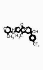 CC1COCCC1NC1CC[C@@]2(C1)C(=O)N1CCC(O)(c3ccc(C(F)(F)F)cc3)CC1C2C